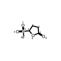 O=C1CCC(S(=O)(=O)F)O1